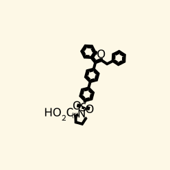 O=C(O)[C@@H]1CCCN1S(=O)(=O)c1ccc(-c2ccc(-c3c(Cc4ccccc4)oc4ccccc34)cc2)cc1